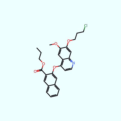 CCCOC(=O)c1cc2ccccc2cc1Oc1ccnc2cc(OCCCCl)c(OC)cc12